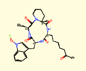 CCC(C)[C@@H]1NC(=O)[C@H](Cc2cn(OF)c3ccccc23)NC(=O)[C@H](CCCCCC(=O)C(C)C)NC(=O)[C@H]2CCCCN2C1=O